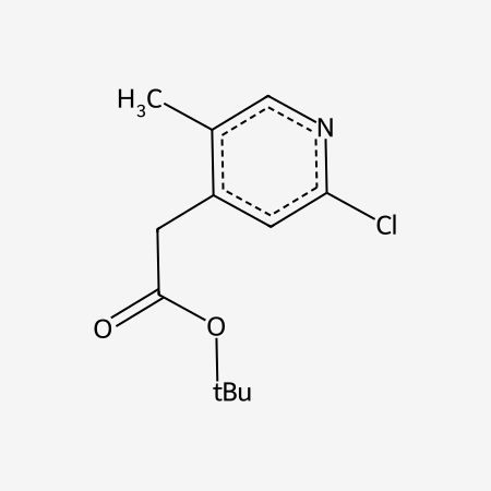 Cc1cnc(Cl)cc1CC(=O)OC(C)(C)C